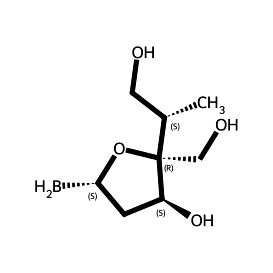 B[C@H]1C[C@H](O)[C@](CO)([C@@H](C)CO)O1